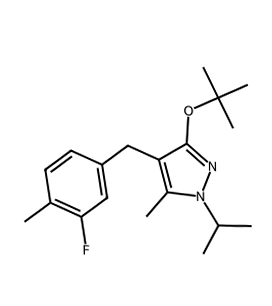 Cc1ccc(Cc2c(OC(C)(C)C)nn(C(C)C)c2C)cc1F